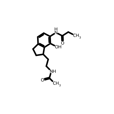 CCC(=O)Nc1ccc2c(c1O)C(CCNC(C)=O)CC2